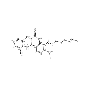 CNCCCCCOc1c(OC)ccc2c(Nc3c(Cl)cncc3Cl)cc(=O)oc12